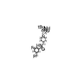 CC(C)(C)NS(=O)(=O)CCN1CCC(CNC(=O)c2cc(F)cc(CF)c2)CC1